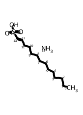 CCCCCCCCCCCCC=CS(=O)(=O)O.N